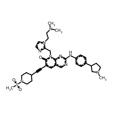 CN(C)CCn1ccnc1Cn1c(=O)c(C#CC2CCN(S(C)(=O)=O)CC2)cc2cnc(Nc3ccc(C4CCN(C)C4)cc3)nc21